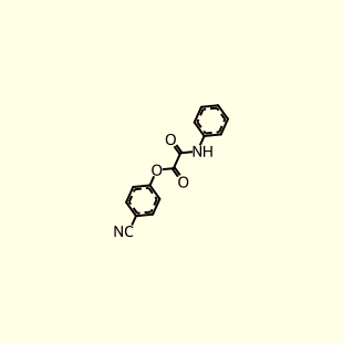 N#Cc1ccc(OC(=O)C(=O)Nc2ccccc2)cc1